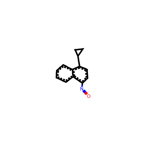 O=Nc1ccc(C2CC2)c2ccccc12